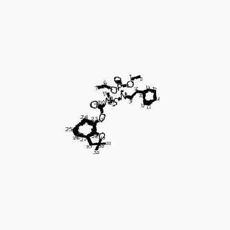 CCOP(=O)(OCC)N(CCc1ccccc1)SN(C)C(=O)Oc1cccc2c1OC(C)(C)C2